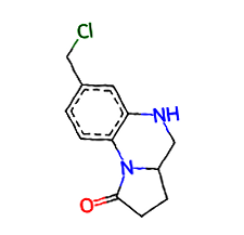 O=C1CCC2CNc3cc(CCl)ccc3N12